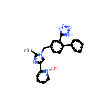 CCCCc1nc(-c2cccc[n+]2[O-])cn1Cc1ccc(-c2ccccc2)c(-c2nnn[nH]2)c1